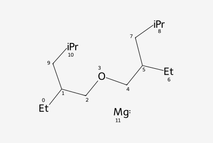 CCC(COCC(CC)CC(C)C)CC(C)C.[Mg]